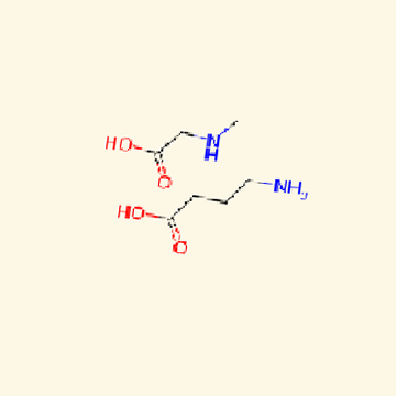 CNCC(=O)O.NCCCC(=O)O